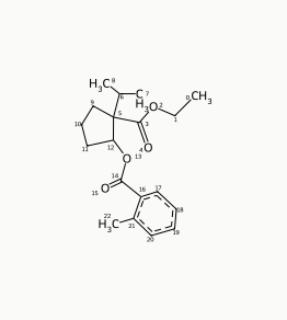 CCOC(=O)C1(C(C)C)CCCC1OC(=O)c1ccccc1C